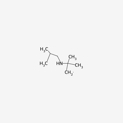 [CH2]C(C)(C)NCC(C)C